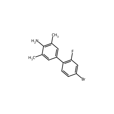 Cc1cc(-c2ccc(Br)cc2F)cc(C)c1N